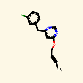 CC#CCOc1cc(Cc2cccc(F)c2)ncn1